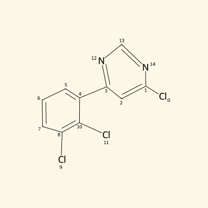 Clc1cc(-c2cccc(Cl)c2Cl)ncn1